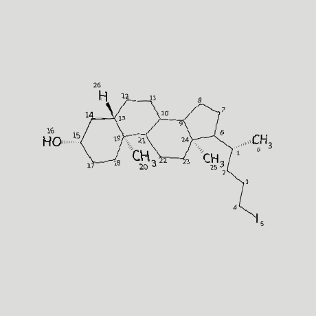 C[C@H](CCCI)C1CCC2C3CC[C@H]4C[C@@H](O)CC[C@]4(C)C3CC[C@@]21C